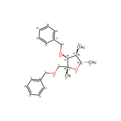 CC(=O)O[C@@H]1O[C@](C#N)(COCc2ccccc2)[C@@H](OCc2ccccc2)[C@H]1OC(C)=O